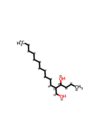 CCCCCCCCCCCC(CO)C(O)CCC